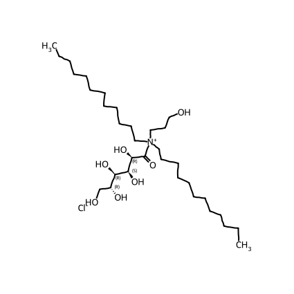 CCCCCCCCCCCC[N+](CCCO)(CCCCCCCCCCCC)C(=O)[C@H](O)[C@@H](O)[C@H](O)[C@H](O)CO.[Cl-]